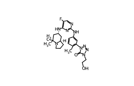 Cc1ccc(Nc2ncc(F)c(N[C@@H]3C[C@H]4CCCN4C(C)(C)C3)n2)cc1-n1nnn(CCO)c1=O